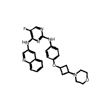 Fc1cnc(Nc2ccc(OC3CC(N4CCOCC4)C3)cc2)nc1Nc1cnc2ccccc2c1